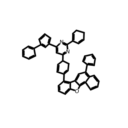 C1=CC(c2nc(-c3cccc(-c4ccccc4)c3)cc(C3C=CC(c4cccc5oc6c7ccccc7c(-c7ccccc7)cc6c45)=CC3)n2)=CCC1